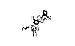 N#CC1=NN(c2cc(Cl)c(Oc3n[nH]c(=O)c4c3C3CCC4C3)c(Cl)c2)C(=O)NC1